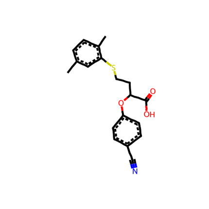 Cc1ccc(C)c(SCCC(Oc2ccc(C#N)cc2)C(=O)O)c1